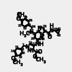 COC(=O)c1nn(Cc2ccc(OC)cc2)cc1Nc1cc(N(C)Cc2ccc(OC)cc2)c2ncc(C(=O)NC3CC3)n2n1